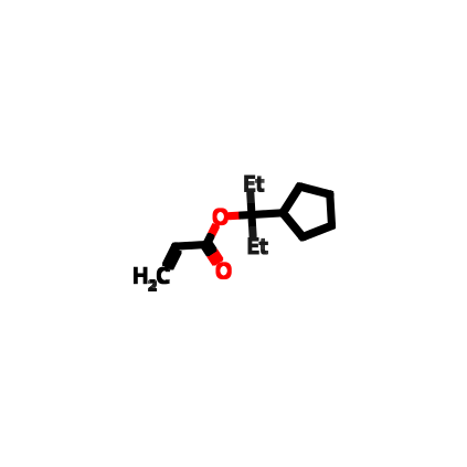 C=CC(=O)OC(CC)(CC)C1CCCC1